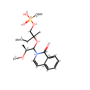 CCO[C@@H](C)C(OC(C)(COC)COP(=O)(O)OC)n1ccc2ccccc2c1=O